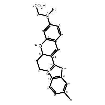 CCN(CC(=O)O)c1ccc2c(c1)OC1CC[n+]3c(sc4cc(C)ccc43)C1=C2